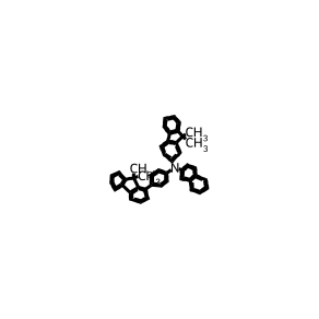 CC1(C)c2ccccc2-c2ccc(N(c3ccc(-c4cccc5c4C(C)(C)c4ccccc4-5)cc3)c3ccc4ccccc4c3)cc21